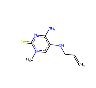 C=CCNc1cn(C)c(=S)nc1N